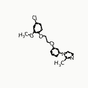 COc1cc(Cl)ccc1OCCOc1cccc(-n2ccnc2C)c1